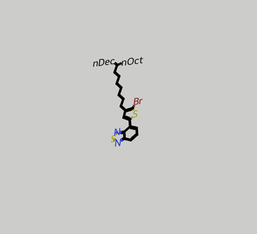 CCCCCCCCCCC(CCCCCCCC)CCCCCCCc1cc(-c2cccc3nsnc23)sc1Br